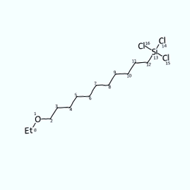 CCOCCCCCCCCCCC[Si](Cl)(Cl)Cl